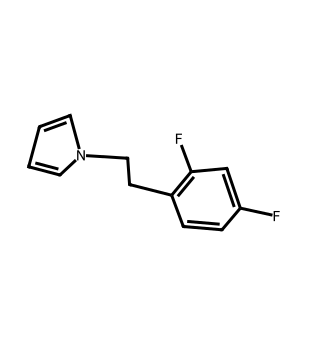 Fc1ccc(CCn2cccc2)c(F)c1